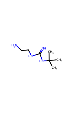 CC(C)(C)NC(=N)NCCN